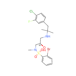 CN(C[C@H](O)CNC(C)(C)Cc1ccc(Cl)c(F)c1)S(=O)(=O)c1ccccc1Br